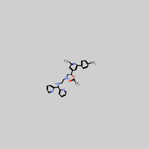 O=C(O[C@@H](CNCCNC(c1ccccn1)c1ccccn1)c1cc(-c2ccc(C(F)(F)F)cc2)nc(C(F)(F)F)c1)C(F)(F)F